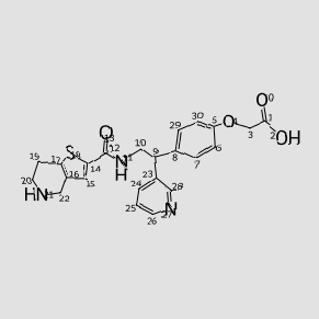 O=C(O)COc1ccc(C(CNC(=O)c2cc3c(s2)CCNC3)c2cccnc2)cc1